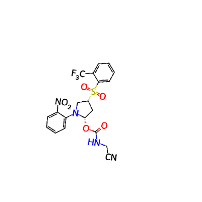 N#CCNC(=O)O[C@H]1C[C@@H](S(=O)(=O)c2ccccc2C(F)(F)F)CN1c1ccccc1[N+](=O)[O-]